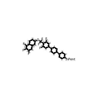 CCCCCc1ccc(-c2ccc(-c3cc(F)c(C(F)(F)Oc4ccc5c(F)c(F)c(F)cc5c4)c(F)c3)cc2)cc1